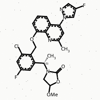 COC1CN([C@@H](C)c2cc(F)cc(Cl)c2COc2cccc3c(-n4cc(F)cn4)cc(C)nc23)C(=O)O1